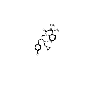 CC1C(C(=O)NC[C@H](Cc2ccc(O)cc2)N(C)CC2CC2)[C@]1(C)c1ccccc1